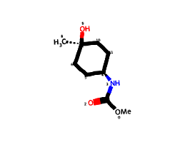 COC(=O)N[C@H]1CC[C@@](C)(O)CC1